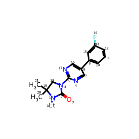 CCN1C(=O)N(c2ncc(-c3cccc(F)c3)cn2)CC1(C)C